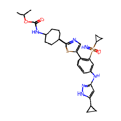 CC(C)OC(=O)NC1CCC(c2ncc(-c3ccc(Nc4cc(C5CC5)[nH]n4)cc3S(=N)(=O)C3CC3)s2)CC1